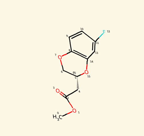 COC(=O)C[C@@H]1COc2ccc(F)cc2O1